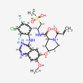 C=CC(=O)N1CCC(Oc2cc3c(Nc4ccc(F)c(Cl)c4F)ncnc3cc2OC)CC1C(=O)NCCS(C)(=O)=O